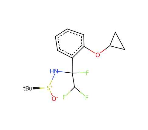 CC(C)(C)[S@+]([O-])NC(F)(c1ccccc1OC1CC1)C(F)F